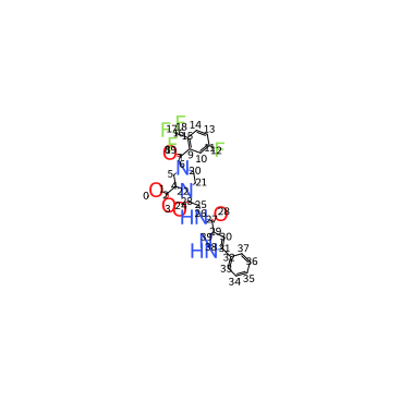 COC(=O)C1CN(C(=O)c2cc(F)ccc2C(F)(F)F)CCN1C(=O)CNC(=O)c1cc(-c2ccccc2)[nH]n1